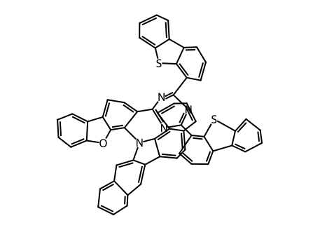 c1ccc2cc3c(cc2c1)c1ccc2ccccc2c1n3-c1c(-c2nc(-c3cccc4c3sc3ccccc34)nc(-c3cccc4c3sc3ccccc34)n2)ccc2c1oc1ccccc12